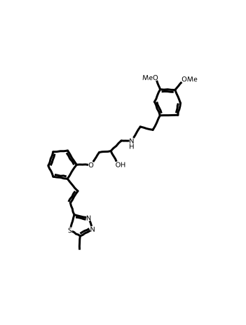 COc1ccc(CCNCC(O)COc2ccccc2C=Cc2nnc(C)s2)cc1OC